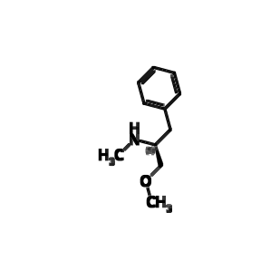 CN[C@H](COC)Cc1ccccc1